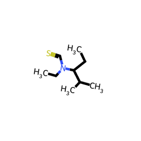 CCC(C(C)C)N(C=S)CC